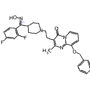 Cc1nc2c(OCc3ccccc3)cccn2c(=O)c1CCN1CCC(/C(=N/O)c2ccc(F)cc2F)CC1